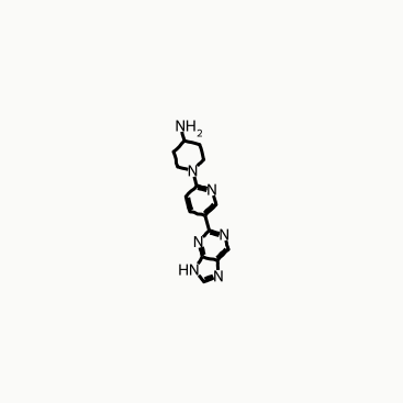 NC1CCN(c2ccc(-c3ncc4nc[nH]c4n3)cn2)CC1